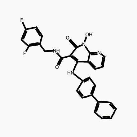 O=C(NCc1ccc(F)cc1F)c1c(Nc2ccc(-c3ccccc3)cc2)c2cccnc2n(O)c1=O